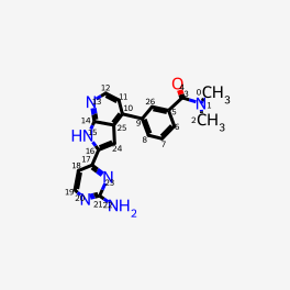 CN(C)C(=O)c1cccc(-c2ccnc3[nH]c(-c4ccnc(N)n4)cc23)c1